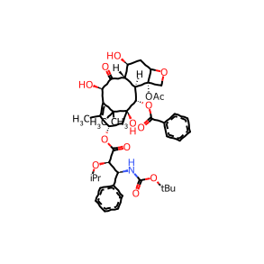 CC(=O)O[C@@]12COC1C[C@H](O)[C@H]1C(=O)[C@H](O)C3=C(C)[C@@H](OC(=O)[C@H](OC(C)C)[C@@H](NC(=O)OC(C)(C)C)c4ccccc4)C[C@@](O)([C@@H](OC(=O)c4ccccc4)[C@@H]12)C3(C)C